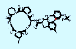 C[C@@H]1C[C@H]2C(=O)O[C@@H](C)[C@H](NC(=O)[C@H](Cc3cc(F)cc(F)c3)NC(=O)Nc3ccc(OC(F)(F)F)cc3)C(=O)N3CCC[C@H]3C(=O)N3CCCC[C@H]3C(=O)N[C@@H](C)C(=O)N2C1